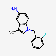 N#Cc1cn(Cc2ccccc2F)c2ccc(N)cc12